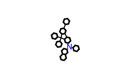 c1ccc(-c2ccc3c(c2)-c2ccc(N(c4ccccc4)c4ccc5ccccc5c4)cc2C3(c2ccccc2)c2ccccc2)cc1